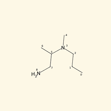 CCCN(C)C(C)CN